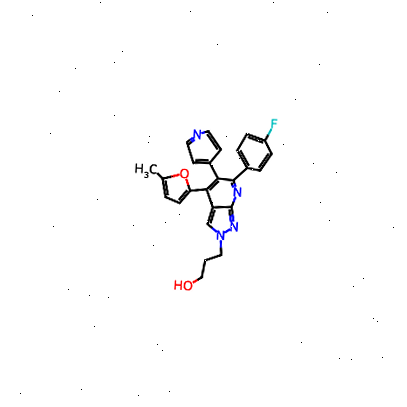 Cc1ccc(-c2c(-c3ccncc3)c(-c3ccc(F)cc3)nc3nn(CCCO)cc23)o1